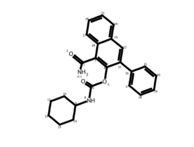 NC(=O)c1c(OC(=O)NC2CCCCC2)c(-c2ccccc2)cc2ccccc12